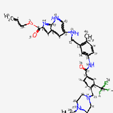 C=CCOC(=O)c1cc2cc(NCc3cc(NC(=O)c4ccc(CN5CCN(C)CC5)c(C(F)(F)F)c4)ccc3C)c[nH]c-2n1